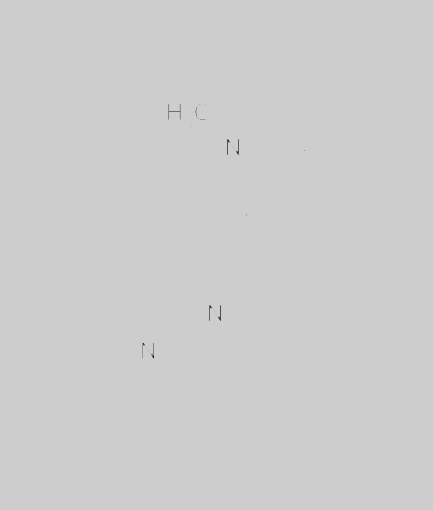 CN1CCC1Cn1cccn1